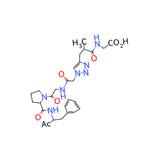 CC(=O)C(Cc1ccccc1)NC(=O)C1CCCN1C(=O)CNC(=O)Cn1cc(CC(C)C(=O)NCC(=O)O)nn1